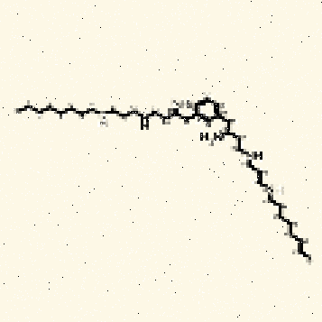 CCCCCCCCNCCCNCCC(N)Cc1cccc(CC(N)CCNCCCNCCCCCCCC)c1